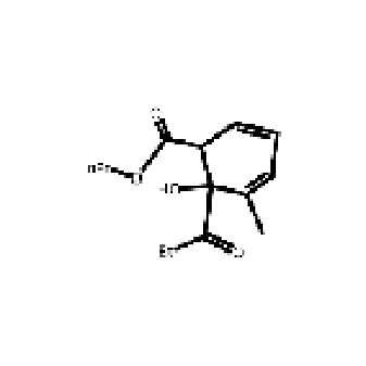 CCCOC(=O)C1C=CC=C(C)C1(O)C(=O)CC